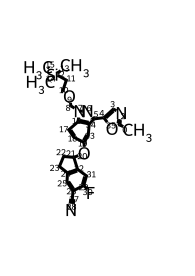 Cc1ncc(-c2nn(COCC[Si](C)(C)C)c3ccc(OC4CCc5cc(C#N)c(F)cc54)cc23)o1